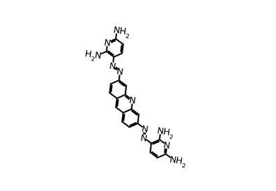 Nc1ccc(/N=N/c2ccc3cc4ccc(/N=N/c5ccc(N)nc5N)cc4nc3c2)c(N)n1